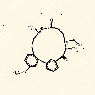 COc1ccc2c(c1)-c1cccc(c1)C(=O)N(C)[C@H](CO)CCC(=O)N[C@H](C)CO2